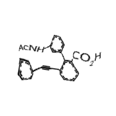 CC(=O)Nc1cccc(-c2c(C#Cc3ccccc3)cccc2C(=O)O)c1